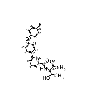 CC(O)[C@H](NC(=O)c1cccc(-c2ccc(Oc3ccc(F)cc3)cc2)n1)C(N)=O